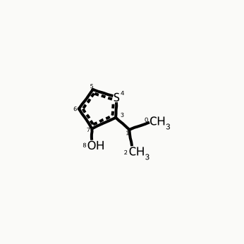 CC(C)c1sccc1O